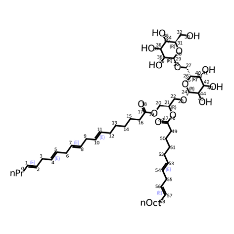 CCC/C=C/C/C=C/C/C=C/C/C=C/CCCCCC(=O)OC[C@@H](CO[C@@H]1O[C@H](CO[C@@H]2O[C@H](CO)[C@H](O)C(O)C2O)[C@H](O)C(O)C1O)OC(=O)CCCC/C=C/C/C=C/CCCCCCCC